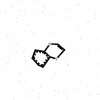 C1=CSc2ccccc2O1